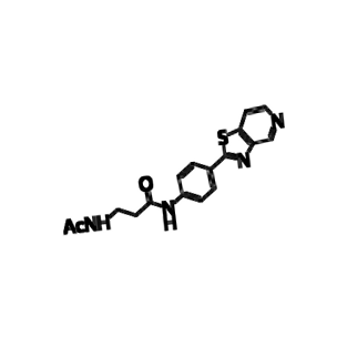 CC(=O)NCCC(=O)Nc1ccc(-c2nc3cnccc3s2)cc1